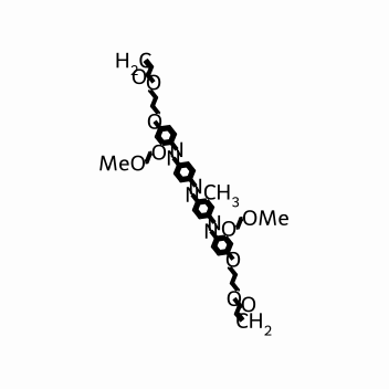 C=CC(=O)OCCCCOc1ccc(N=Nc2ccc(N=Nc3ccc(N=Nc4ccc(OCCCCOC(=O)C=C)cc4OCCOC)cc3C)cc2)c(OCCOC)c1